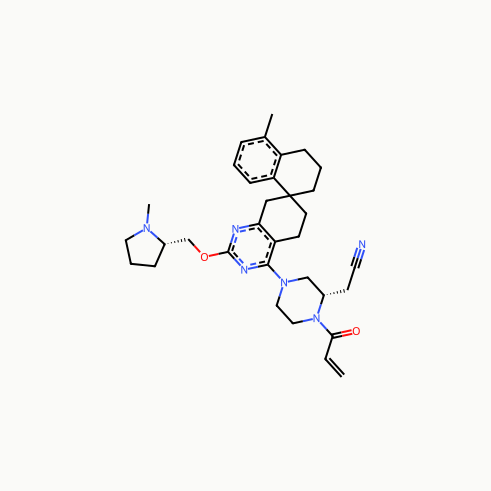 C=CC(=O)N1CCN(c2nc(OC[C@@H]3CCCN3C)nc3c2CCC2(CCCc4c(C)cccc42)C3)C[C@@H]1CC#N